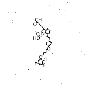 O=C(O)CCCc1cn(CC(=O)O)c2c(C=Cc3ccc(OCCCCOc4cc(F)cc(F)c4Cl)cc3)cccc12